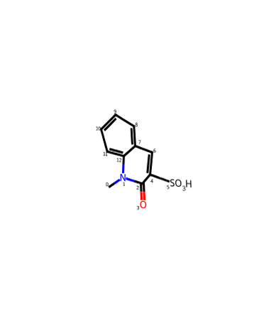 Cn1c(=O)c(S(=O)(=O)O)cc2ccccc21